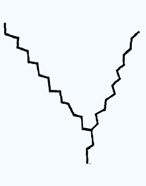 [CH2]CCC(CCCCCCCCCCCCC)CCCCCCCCCCCCCCCC